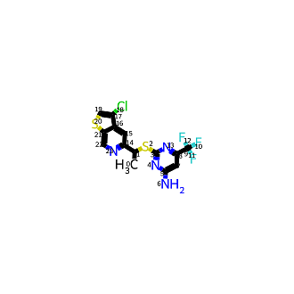 CC(Sc1nc(N)cc(C(F)(F)F)n1)c1cc2c(Cl)csc2cn1